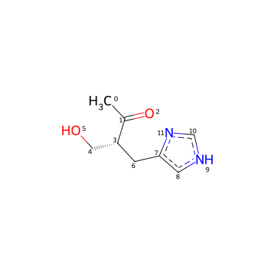 CC(=O)[C@@H](CO)Cc1c[nH]cn1